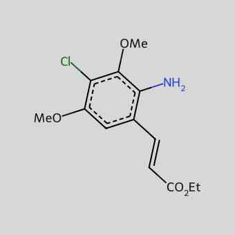 CCOC(=O)/C=C/c1cc(OC)c(Cl)c(OC)c1N